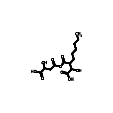 CCCCCCC(C(=O)OC(=O)CC(O)C(=O)O)C(O)C(=O)O